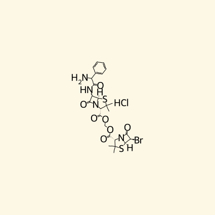 CC1(C)S[C@@H]2[C@H](Br)C(=O)N2[C@H]1C(=O)OCOC(=O)[C@@H]1N2C(=O)[C@@H](NC(=O)C(N)c3ccccc3)[C@H]2SC1(C)C.Cl